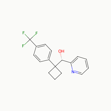 O[C@H](c1ccccn1)C1(c2ccc(C(F)(F)F)cc2)CCC1